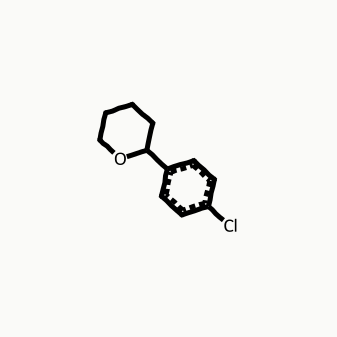 Clc1ccc(C2CCCCO2)cc1